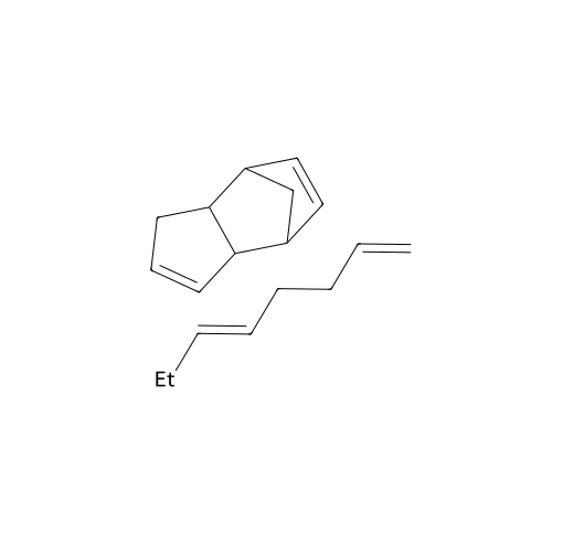 C1=CC2C3C=CC(C3)C2C1.C=CCCC=CCC